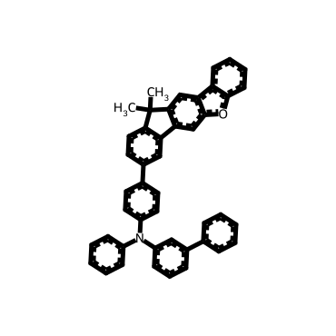 CC1(C)c2ccc(-c3ccc(N(c4ccccc4)c4cccc(-c5ccccc5)c4)cc3)cc2-c2cc3oc4ccccc4c3cc21